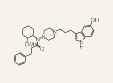 COC1CCCCC1N(C(=O)CCc1ccccc1)N1CCN(CCCc2c[nH]c3ccc(O)cc23)CC1